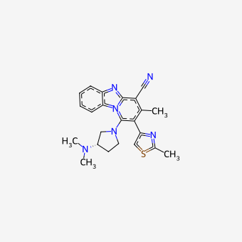 Cc1nc(-c2c(C)c(C#N)c3nc4ccccc4n3c2N2CC[C@H](N(C)C)C2)cs1